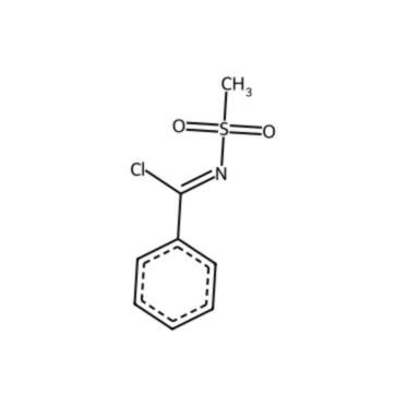 CS(=O)(=O)/N=C(\Cl)c1ccccc1